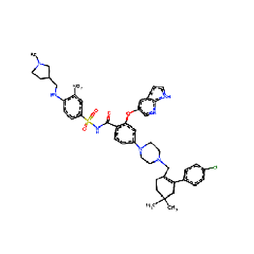 CC(=O)N1CCC(CNc2ccc(S(=O)(=O)NC(=O)c3ccc(N4CCN(CC5=C(c6ccc(Cl)cc6)CC(C)(C)CC5)CC4)cc3Oc3cnc4[nH]ccc4c3)cc2[N+](=O)[O-])C1